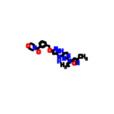 Cc1cc(N(C)c2nccc(Nc3cc(OCc4cccc(C(=O)N5CCOCC5)c4)n[nH]3)n2)on1